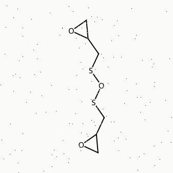 C1OC1CSOSCC1CO1